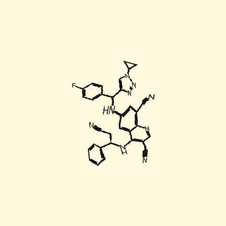 N#CC[C@@H](Nc1c(C#N)cnc2c(C#N)cc(NC(c3ccc(F)cc3)c3cn(C4CC4)nn3)cc12)c1ccccc1